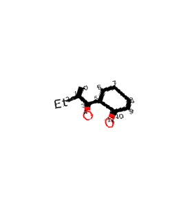 C=C(CC)C(=O)C1CCCCC1=O